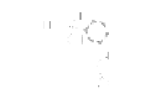 CC(C)(c1cccc(NCC2CC2)c1)C(F)(F)F